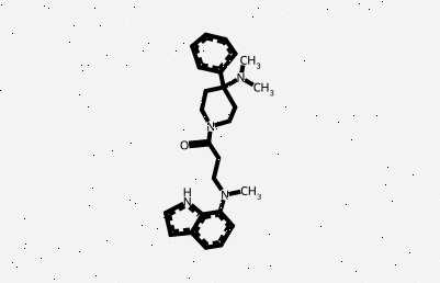 CN(CCC(=O)N1CCC(c2ccccc2)(N(C)C)CC1)c1cccc2cc[nH]c12